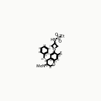 CCS(=O)(=O)NC1CN(c2cc3c(cc2F)OC[C@@H](NC)[C@@H]3Cc2ccccc2)C1